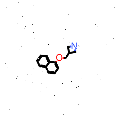 c1ccc2c(OCC3C[N]C3)cccc2c1